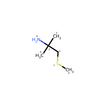 CSCC(C)(C)N